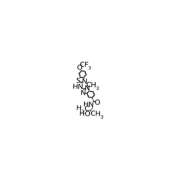 Cn1c(Nc2nc3ccc(OC(F)(F)F)cc3s2)nc2cc(C(=O)NCC(C)(C)O)ccc21